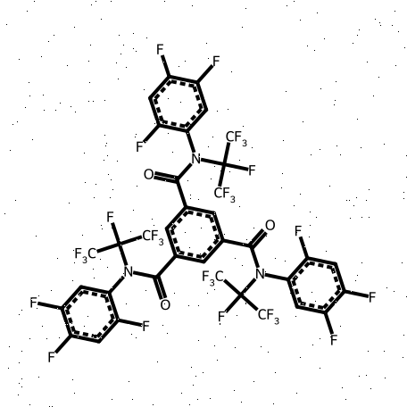 O=C(c1cc(C(=O)N(c2cc(F)c(F)cc2F)C(F)(C(F)(F)F)C(F)(F)F)cc(C(=O)N(c2cc(F)c(F)cc2F)C(F)(C(F)(F)F)C(F)(F)F)c1)N(c1cc(F)c(F)cc1F)C(F)(C(F)(F)F)C(F)(F)F